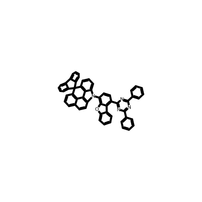 c1ccc(-c2nc(-c3ccccc3)nc(-c3ccc(-n4c5cccc6c5c5c7c(cccc7ccc54)C64c5ccccc5-c5ccccc54)c4oc5ccccc5c34)n2)cc1